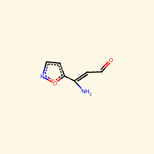 N/C(=C\[C]=O)c1ccno1